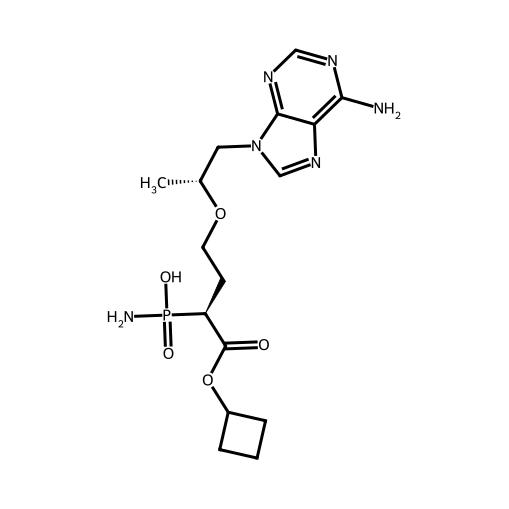 C[C@H](Cn1cnc2c(N)ncnc21)OCC[C@@H](C(=O)OC1CCC1)P(N)(=O)O